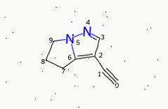 C#Cc1cnn2c1CCC2